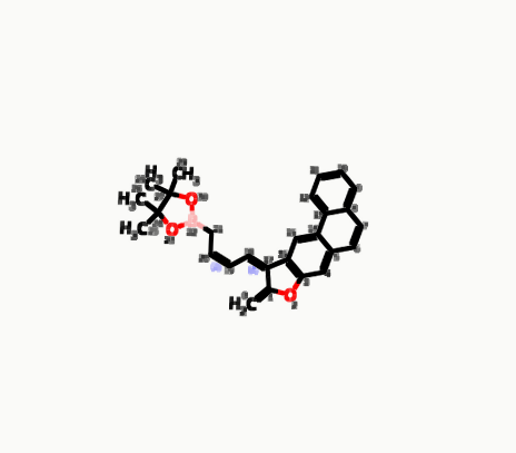 C=c1oc2cc3ccc4ccccc4c3cc2/c1=C/C=C\CB1OC(C)(C)C(C)(C)O1